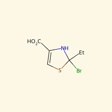 CCC1(Br)NC(C(=O)O)=CS1